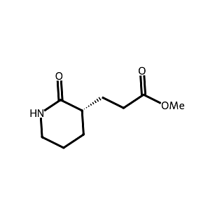 COC(=O)CC[C@@H]1CCCNC1=O